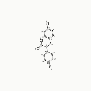 O=C(Cl)C(Sc1ccc(Cl)cc1)c1ccc(F)cc1